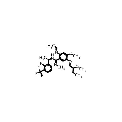 C/C=N/c1cc(OC)c(OCC(CC)OC)cc1/C(=N\C)N[C@H](C)c1cccc(C(F)(F)F)c1F